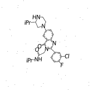 CC(C)NC(=O)Cn1c(-c2ccc(F)c(Cl)c2)nc2ccc(N3CCNC(C(C)C)C3)cc2c1=O